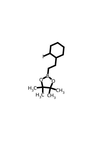 CC1(C)OB(CCC2CCCCC2I)OC1(C)C